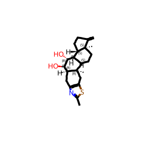 C=C1CC[C@H]2[C@@H]3[C@@H](O)[C@H](O)[C@@H]4Cc5nc(C)sc5C[C@]4(C)[C@H]3CC[C@]12C